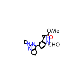 COC(=O)C1CC1c1cc(-c2nc(N3CCC3)nc3c2CCC3)ccc1NC=O